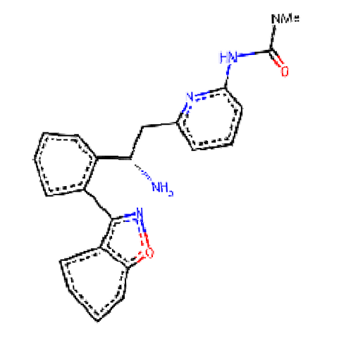 CNC(=O)Nc1cccc(C[C@H](N)c2ccccc2-c2noc3ccccc23)n1